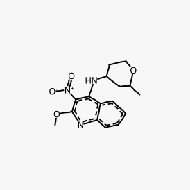 COc1nc2ccccc2c(NC2CCOC(C)C2)c1[N+](=O)[O-]